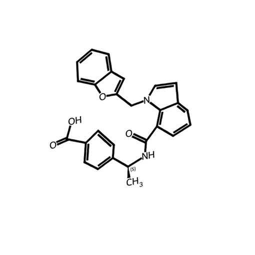 C[C@H](NC(=O)c1cccc2ccn(Cc3cc4ccccc4o3)c12)c1ccc(C(=O)O)cc1